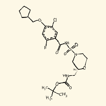 CC(C)(C)OC(=O)NC[C@@H]1CN(S(=O)(=O)NC(=O)c2cc(Cl)c(OCC3CCCC3)cc2F)CCO1